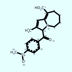 CC1=CC2=C(C(=O)O)CCCCN2C1C(=O)c1ccc([S+](C)[O-])cc1